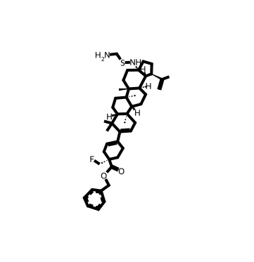 C=C(C)[C@@H]1CC[C@]2(NSCN)CC[C@]3(C)[C@H](CC[C@@H]4[C@@]5(C)CC=C(C6=CC[C@](CF)(C(=O)OCc7ccccc7)CC6)C(C)(C)[C@@H]5CC[C@]43C)[C@@H]12